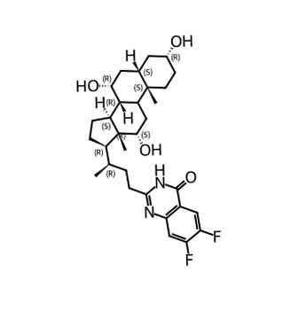 C[C@H](CCc1nc2cc(F)c(F)cc2c(=O)[nH]1)[C@H]1CC[C@H]2[C@H]3C(C[C@H](O)[C@]12C)[C@@]1(C)CC[C@@H](O)C[C@H]1C[C@H]3O